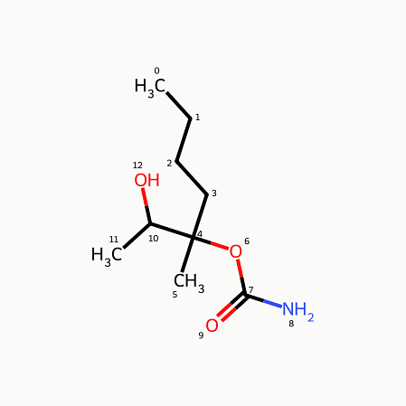 CCCCC(C)(OC(N)=O)C(C)O